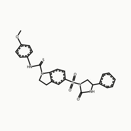 COc1ccc(NC(=S)N2CCc3cc(S(=O)(=O)N4CC(c5ccccc5)NC4=O)ccc32)cc1